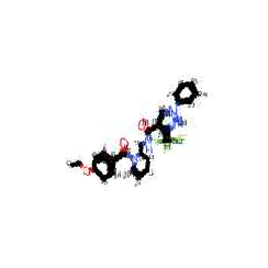 CCOc1ccc(C(=O)N2CCCCC2CNC(=O)c2cn(-c3ccccc3)nc2C(F)(F)F)cc1